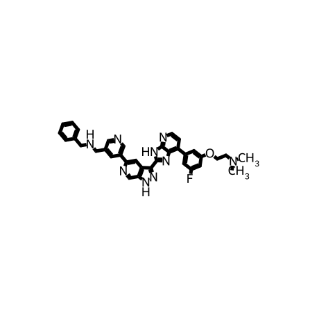 CN(C)CCOc1cc(F)cc(-c2ccnc3[nH]c(-c4n[nH]c5cnc(-c6cncc(CNCc7ccccc7)c6)cc45)nc23)c1